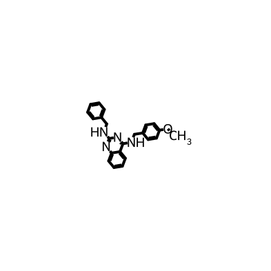 COc1ccc(CNc2nc(NCc3ccccc3)nc3ccccc23)cc1